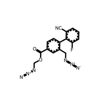 N#Cc1cccc(F)c1-c1ccc(C(=O)OCN=[N+]=[N-])cc1CN=[N+]=[N-]